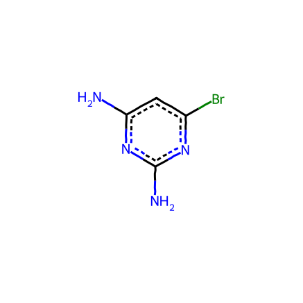 Nc1cc(Br)nc(N)n1